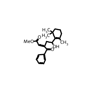 COC(=O)C=C(CC(O)C1=C(C)CCCC1(C)C)C(=O)c1ccccc1